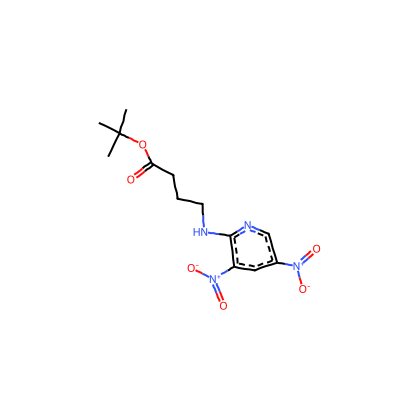 CC(C)(C)OC(=O)CCCNc1ncc([N+](=O)[O-])cc1[N+](=O)[O-]